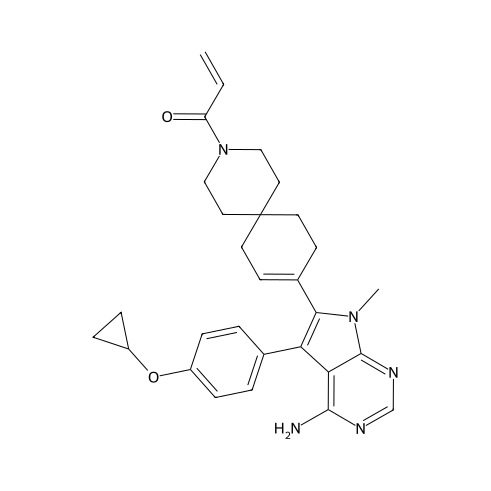 C=CC(=O)N1CCC2(CC=C(c3c(-c4ccc(OC5CC5)cc4)c4c(N)ncnc4n3C)CC2)CC1